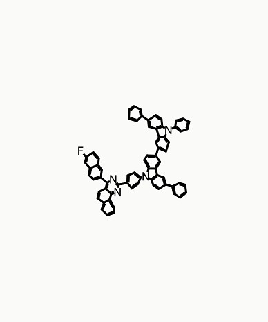 Fc1ccc2cc(-c3nc(-c4ccc(-n5c6ccc(-c7ccccc7)cc6c6cc(-c7ccc8c(c7)c7cc(-c9ccccc9)ccc7n8-c7ccccc7)ccc65)cc4)nc4c3ccc3ccccc34)ccc2c1